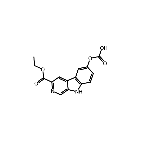 CCOC(=O)c1cc2c(cn1)[nH]c1ccc(OC(=O)O)cc12